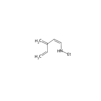 C=CC(=C)/C=C\NCC